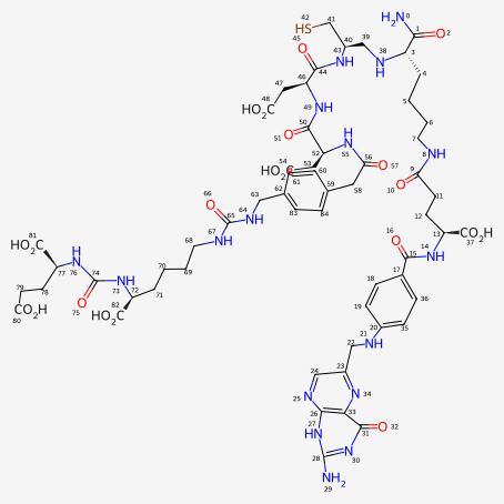 NC(=O)[C@H](CCCCNC(=O)CC[C@H](NC(=O)c1ccc(NCc2cnc3[nH]c(N)nc(=O)c3n2)cc1)C(=O)O)NC[C@H](CS)NC(=O)[C@H](CC(=O)O)NC(=O)[C@H](CC(=O)O)NC(=O)Cc1ccc(CNC(=O)NCCCC[C@H](NC(=O)N[C@@H](CCC(=O)O)C(=O)O)C(=O)O)cc1